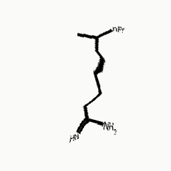 CCCC(C)CCCCC(=N)N